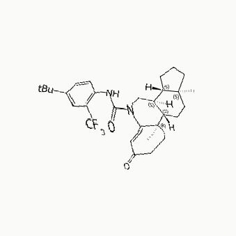 CC(C)(C)c1ccc(NC(=O)N2C[C@H]3[C@@H]4CCC[C@@]4(C)CC[C@@H]3[C@@]3(C)CCC(=O)C=C23)c(C(F)(F)F)c1